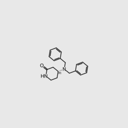 O=C1C[C@H](N(Cc2ccccc2)Cc2ccccc2)CCN1